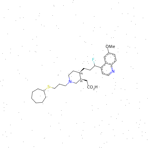 COc1ccc2nccc(C(F)CC[C@@H]3CCN(CCCSC4CCCCCC4)C[C@@H]3CC(=O)O)c2c1